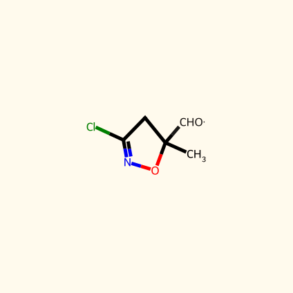 CC1([C]=O)CC(Cl)=NO1